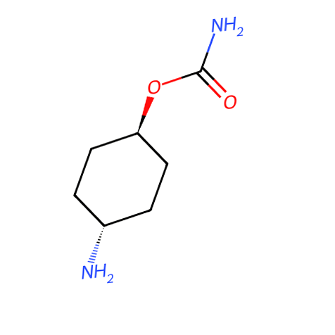 NC(=O)O[C@H]1CC[C@H](N)CC1